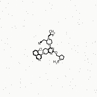 CC(F)=CN1CCN(c2nc(OCC3CCCN3C)nc3c2CCN(c2cncc4cccc(Cl)c24)C3)CC1CC#N